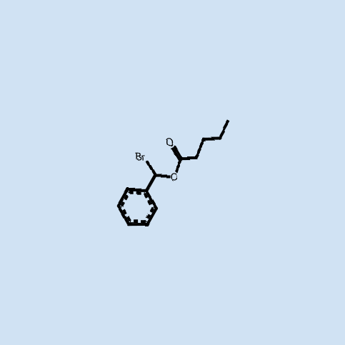 CCCCC(=O)OC(Br)c1ccccc1